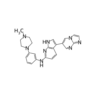 CN1CCN(c2cccc(Nc3ccc4c(-c5cnc6nccn6c5)c[nH]c4n3)c2)CC1